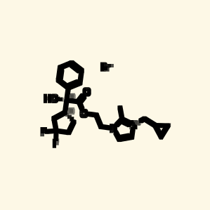 Cc1n(CCOC(=O)[C@](O)(c2ccccc2)[C@@H]2CCC(F)(F)C2)cc[n+]1CC1CC1.[Br-]